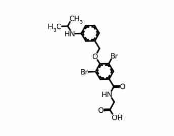 CC(C)Nc1cccc(COc2c(Br)cc(C(=O)NCC(=O)O)cc2Br)c1